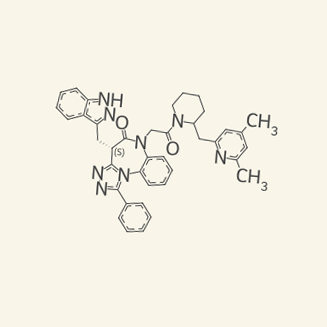 Cc1cc(C)nc(CC2CCCCN2C(=O)CN2C(=O)[C@@H](Cc3n[nH]c4ccccc34)c3nnc(-c4ccccc4)n3-c3ccccc32)c1